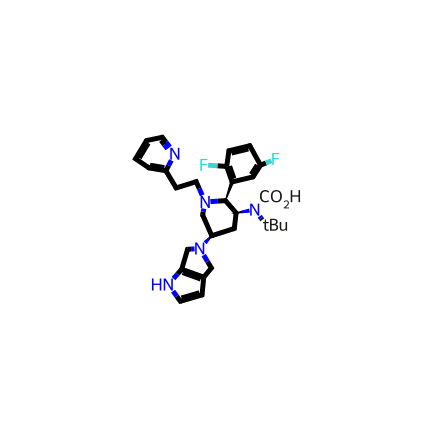 CC(C)(C)N(C(=O)O)[C@H]1C[C@@H](N2Cc3cc[nH]c3C2)CN(CCc2ccccn2)[C@H]1c1cc(F)ccc1F